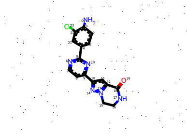 Nc1ccc(-c2nccc(-c3cc4n(n3)CCNC4=O)n2)cc1Cl